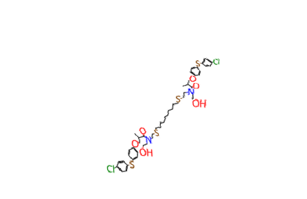 CC(COc1ccc(Sc2ccc(Cl)cc2)cc1)C(=O)N(CCO)CCSCCCCCCCCCCSCCN(CCO)C(=O)C(C)COc1ccc(Sc2ccc(Cl)cc2)cc1